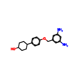 Nc1cc(N)cc(COc2ccc(C3CCC(O)CC3)cc2)c1